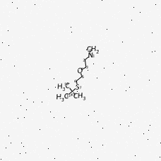 C=NCCOCCSC(C)(C)C